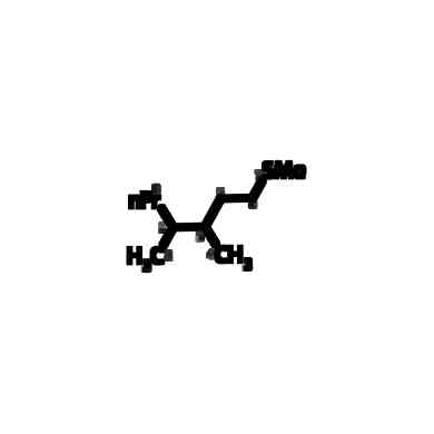 CCCC(C)C(C)CCSC